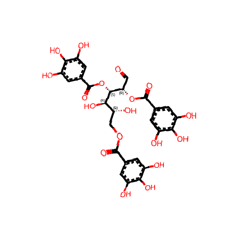 O=C[C@H](OC(=O)c1cc(O)c(O)c(O)c1)[C@@H](OC(=O)c1cc(O)c(O)c(O)c1)[C@H](O)[C@H](O)COC(=O)c1cc(O)c(O)c(O)c1